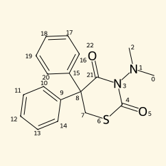 CN(C)N1C(=O)SCC(c2ccccc2)(c2ccccc2)C1=O